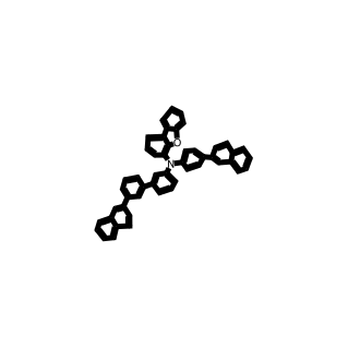 c1cc(-c2cccc(N(c3ccc(-c4ccc5ccccc5c4)cc3)c3cccc4c3oc3ccccc34)c2)cc(-c2ccc3ccccc3c2)c1